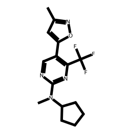 Cc1cc(-c2cnc(N(C)C3CCCC3)nc2C(F)(F)F)on1